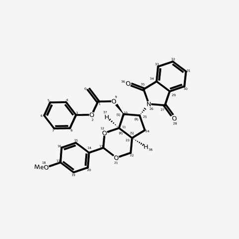 C=C(Oc1ccccc1)O[C@@H]1[C@@H]2OC(c3ccc(OC)cc3)OC[C@@H]2C[C@H]1N1C(=O)c2ccccc2C1=O